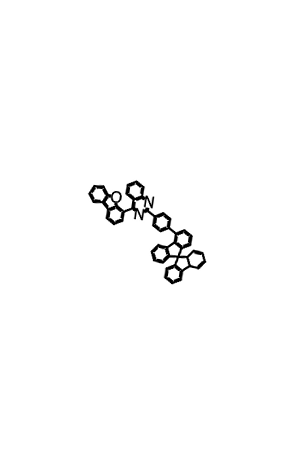 C1=CC2c3ccccc3C3(c4ccccc4-c4c(-c5ccc(-c6nc(-c7cccc8c7oc7ccccc78)c7ccccc7n6)cc5)cccc43)C2C=C1